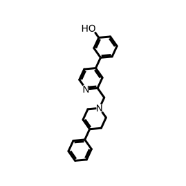 Oc1cccc(-c2ccnc(CN3CC=C(c4ccccc4)CC3)c2)c1